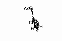 CC(=O)OCCCCCCCOc1ccc2c(c1Cl)CN1C(=N2)NC(=O)C1C(C)C